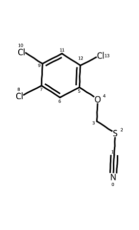 N#CSCOc1cc(Cl)c(Cl)cc1Cl